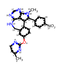 Cc1ccnc(Oc2ccc3c(c2)CNc2ncnc4c2c-3c(-c2ccc([N+](=O)[O-])cc2)n4C)n1